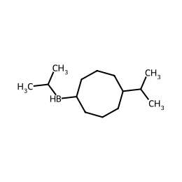 CC(C)BC1CCCC(C(C)C)CCC1